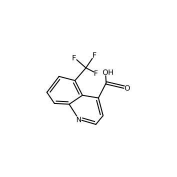 O=C(O)c1ccnc2cccc(C(F)(F)F)c12